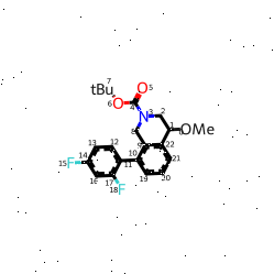 COC1CN(C(=O)OC(C)(C)C)Cc2c(-c3ccc(F)cc3F)cccc21